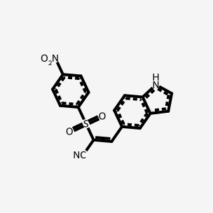 N#CC(=Cc1ccc2[nH]ccc2c1)S(=O)(=O)c1ccc([N+](=O)[O-])cc1